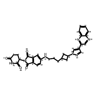 O=C1CCC(N2C(=O)c3ccc(NCCCC4CC(n5cc(-c6cnc7ccccc7n6)cn5)C4)cc3C2=O)C(=O)N1